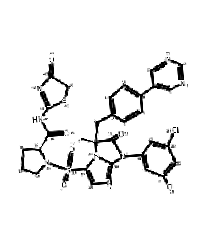 C[C@@]1(Cc2ccc(-c3cncnc3)cc2)C(=O)N(c2cc(Cl)cc(Cl)c2)c2ncc(S(=O)(=O)N3CCC[C@H]3C(=O)NC3=NC(=O)CS3)n21